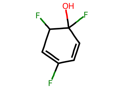 OC1(F)C=CC(F)=CC1F